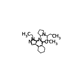 CCC(CC)N1CCCC1n1c(=O)c2c(c3cnn(CC)c31)CCCC2